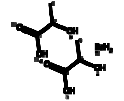 CC(O)C(=O)O.CC(O)C(=O)O.[BaH2]